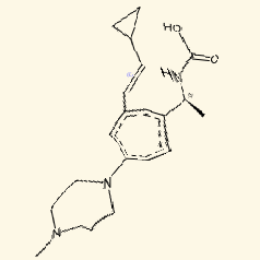 C[C@H](NC(=O)O)c1ccc(N2CCN(C)CC2)cc1/C=C/C1CC1